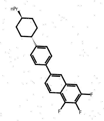 CCC[C@H]1CC[C@H](c2ccc(-c3ccc4c(F)c(F)c(F)cc4c3)cc2)CC1